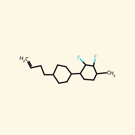 C=CCCC1CCC(C2CCC(C)C(F)C2F)CC1